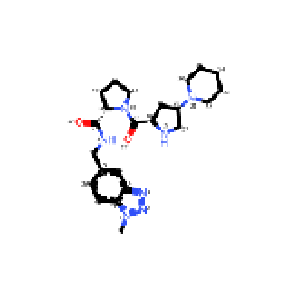 Cn1nnc2cc(CNC(=O)[C@@H]3CCCN3C(=O)[C@H]3C[C@@H](N4CCCCC4)CN3)ccc21